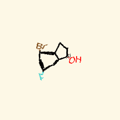 O[C@H]1CCc2c(Br)cc(F)cc21